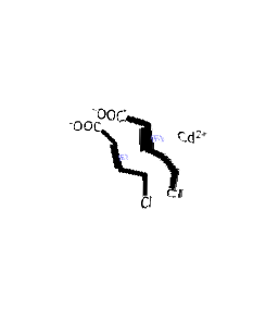 O=C([O-])/C=C/CCl.O=C([O-])/C=C/CCl.[Cd+2]